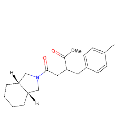 COC(=O)C(CC(=O)N1C[C@H]2CCCC[C@H]2C1)Cc1ccc(C)cc1